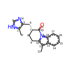 Cc1[nH]cnc1C[C@H]1CCc2c(C)c3ccccc3n2C1=O